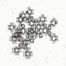 O=C(OC1OC[C@@H](OC(=O)c2cc(OCc3ccccc3)c(OCc3ccccc3)c(OCc3ccccc3)c2)[C@H](OC(=O)c2cc(OCc3ccccc3)c(OCc3ccccc3)c(OCc3ccccc3)c2)[C@H]1OC(=O)c1cc(OCc2ccccc2)c(OCc2ccccc2)c(OCc2ccccc2)c1)c1cc(OCc2ccccc2)c(OCc2ccccc2)c(OCc2ccccc2)c1